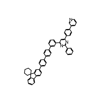 c1ccc(-c2nc(-c3ccc(-c4cccnc4)cc3)cc(-c3cccc(-c4ccc(-c5ccc(-c6ccc7c(c6)C6(CCCCC6)c6ccccc6-7)cc5)cc4)c3)n2)cc1